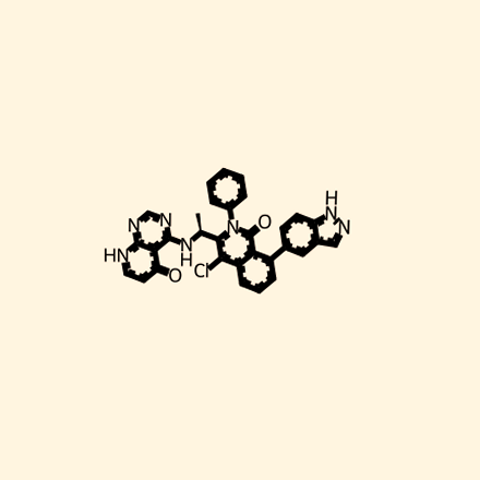 C[C@H](Nc1ncnc2[nH]ccc(=O)c12)c1c(Cl)c2cccc(-c3ccc4[nH]ncc4c3)c2c(=O)n1-c1ccccc1